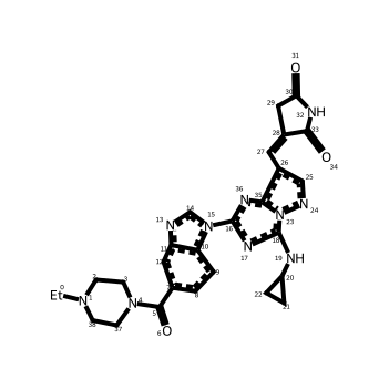 CCN1CCN(C(=O)c2ccc3c(c2)ncn3-c2nc(NC3CC3)n3ncc(C=C4CC(=O)NC4=O)c3n2)CC1